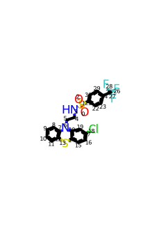 O=S(=O)(NCCN1c2ccccc2Sc2ccc(Cl)cc21)c1ccc(C(F)(F)F)cc1